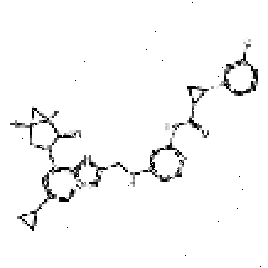 O=C(Nc1cc(NCc2cn3cc(C4CC4)cc(N4C[C@@H]5C[C@@H]5C4=O)c3n2)ccn1)[C@H]1C[C@@H]1c1cccc(Cl)c1